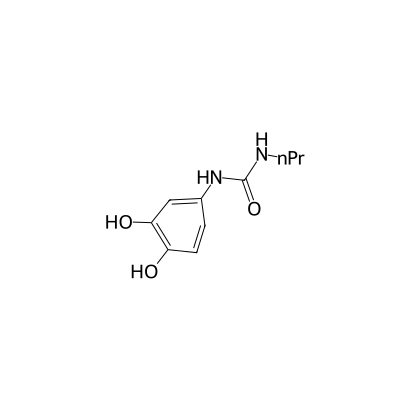 CCCNC(=O)Nc1ccc(O)c(O)c1